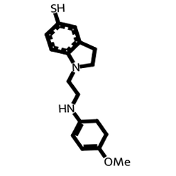 COC1=CC=C(NCCN2CCc3cc(S)ccc32)CC1